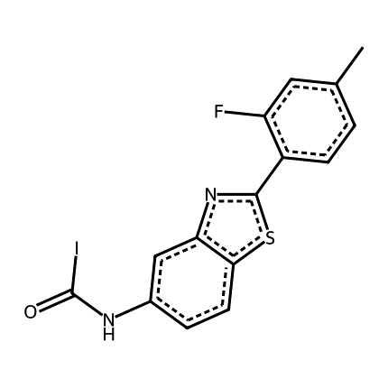 Cc1ccc(-c2nc3cc(NC(=O)I)ccc3s2)c(F)c1